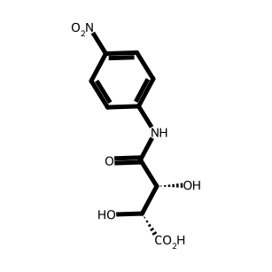 O=C(O)[C@H](O)[C@@H](O)C(=O)Nc1ccc([N+](=O)[O-])cc1